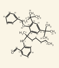 CCCCCC(C)(Pc1ccccc1C=O)c1cc(C(C)(C)C)cc(C(C)(C)C)c1OCc1ccccc1